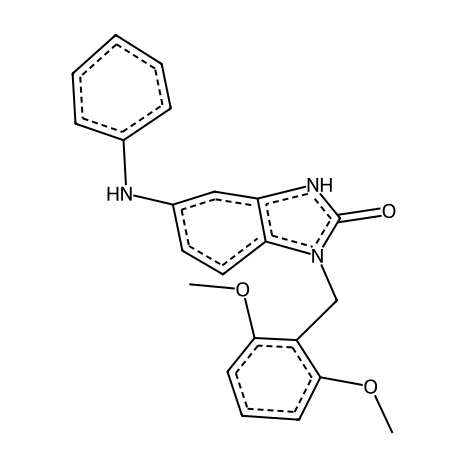 COc1cccc(OC)c1Cn1c(=O)[nH]c2cc(Nc3ccccc3)ccc21